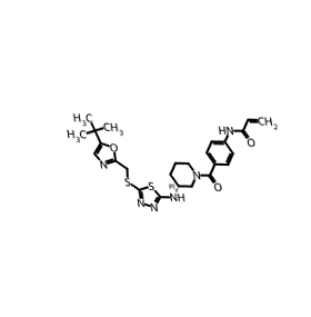 C=CC(=O)Nc1ccc(C(=O)N2CCC[C@@H](Nc3nnc(SCc4ncc(C(C)(C)C)o4)s3)C2)cc1